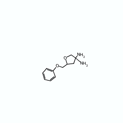 NC1(N)COC(COc2ccccc2)C1